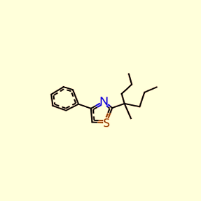 CCCC(C)(CCC)c1nc(-c2ccccc2)cs1